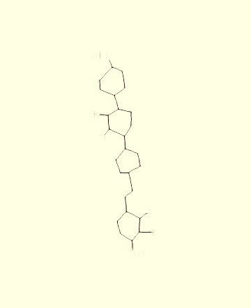 CCCCC1CCC(CCC2CCC(C3CCC(C4CCC(CCC)CC4)C(F)C3F)CC2)C(F)C1F